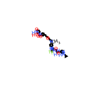 CN(CCCOCCCc1ccc2c(c1)oc(=O)n2C1CCC(=O)NC1O)C[C@H]1CC[C@H](n2cc(NC(=O)c3coc(-c4ccnc(NCC5CC5)c4)n3)c(C(F)F)n2)CC1